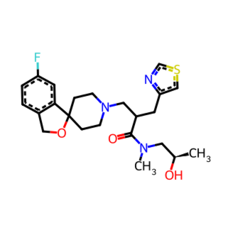 C[C@@H](O)CN(C)C(=O)C(Cc1cscn1)CN1CCC2(CC1)OCc1ccc(F)cc12